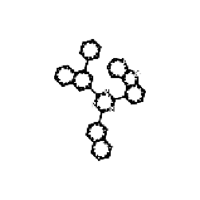 c1ccc(-c2cc(-c3nc(-c4ccc5ccccc5c4)nc(-c4cccc5oc6ncccc6c45)n3)cc3ccccc23)cc1